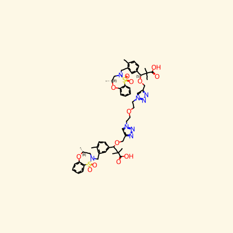 Cc1ccc(C(OCc2cn(CCOCCn3cc(CO[C@@H](c4ccc(C)c(CN5C[C@@H](C)Oc6ccccc6S5(=O)=O)c4)C(C)(C)C(=O)O)nn3)nn2)C(C)(C)C(=O)O)cc1CN1C[C@@H](C)Oc2ccccc2S1(=O)=O